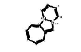 [C]1=C2C=CC=CC=C2N2C=CC=CN12